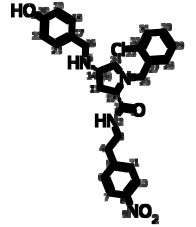 O=C(NCCc1ccc([N+](=O)[O-])cc1)[C@@H]1C[C@H](NCc2ccc(O)cc2)CN1Cc1ccccc1Cl